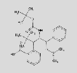 C[SiH](C)OC(c1ccccc1)C(NC(=O)OC(C)(C)C)C(c1ccccc1C(=O)O)C(C)(C)C